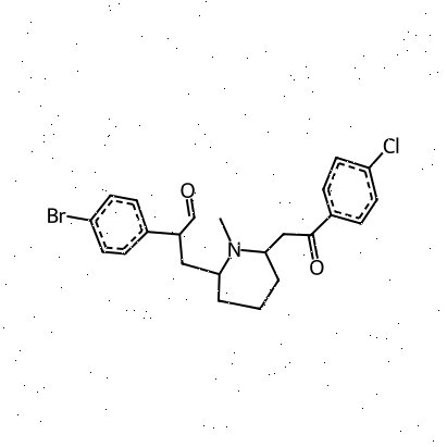 CN1C(CC(=O)c2ccc(Cl)cc2)CCCC1CC(C=O)c1ccc(Br)cc1